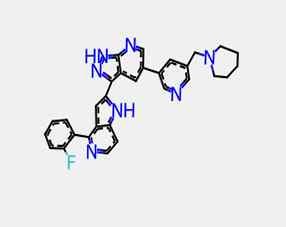 Fc1ccccc1-c1nccc2[nH]c(-c3n[nH]c4ncc(-c5cncc(CN6CCCCC6)c5)cc34)cc12